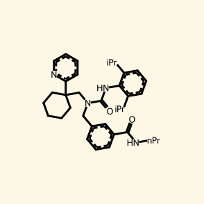 CCCNC(=O)c1cccc(CN(CC2(c3ccccn3)CCCCC2)C(=O)Nc2c(C(C)C)cccc2C(C)C)c1